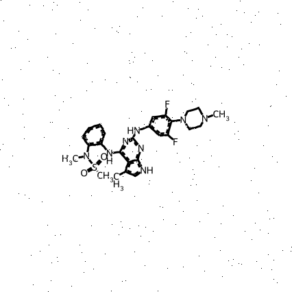 Cc1c[nH]c2nc(Nc3cc(F)c(N4CCN(C)CC4)c(F)c3)nc(Nc3ccccc3N(C)S(C)(=O)=O)c12